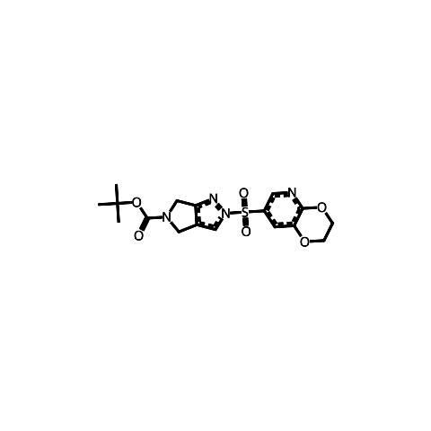 CC(C)(C)OC(=O)N1Cc2cn(S(=O)(=O)c3cnc4c(c3)OCCO4)nc2C1